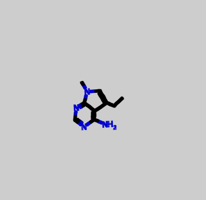 CCc1cn(C)c2ncnc(N)c12